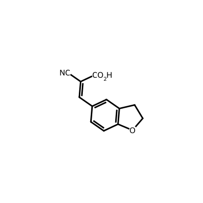 N#CC(=Cc1ccc2c(c1)CCO2)C(=O)O